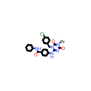 CC(C)n1c(=O)nc(Nc2ccc(C(=O)Nc3ccccc3)cc2)n(Cc2ccc(Cl)cc2)c1=O